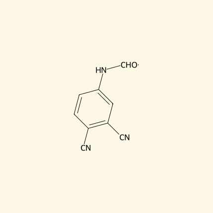 N#Cc1ccc(N[C]=O)cc1C#N